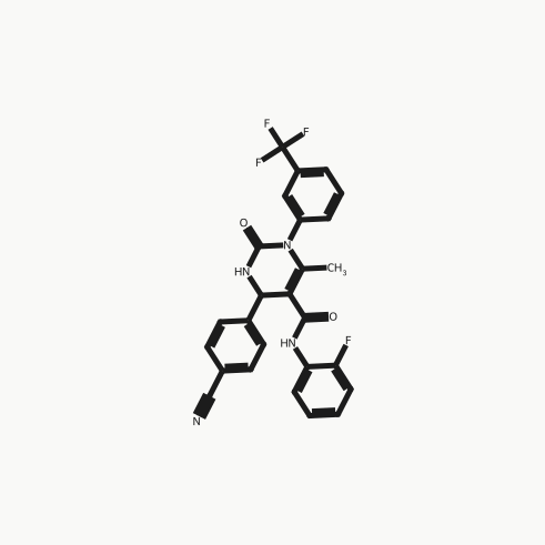 CC1=C(C(=O)Nc2ccccc2F)C(c2ccc(C#N)cc2)NC(=O)N1c1cccc(C(F)(F)F)c1